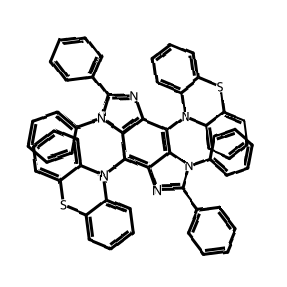 c1ccc(-c2nc3c(N4c5ccccc5Sc5ccccc54)c4c(nc(-c5ccccc5)n4-c4ccccc4)c(N4c5ccccc5Sc5ccccc54)c3n2-c2ccccc2)cc1